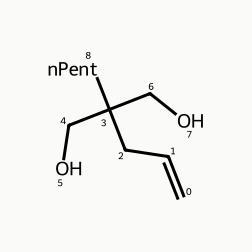 C=CCC(CO)(CO)CCCCC